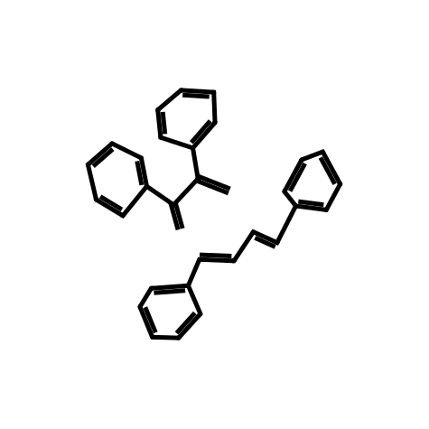 C(C=Cc1ccccc1)=Cc1ccccc1.C=C(C(=C)c1ccccc1)c1ccccc1